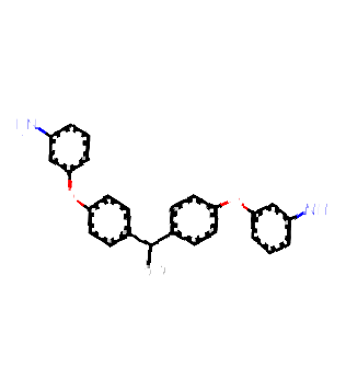 CCCC(c1ccc(Oc2cccc(N)c2)cc1)c1ccc(Oc2cccc(N)c2)cc1